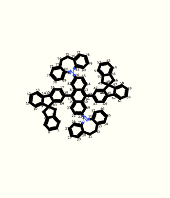 c1ccc2c(c1)CC1(C2)c2ccccc2-c2ccc(-c3c4ccc(N5c6ccccc6CCc6ccccc65)cc4c(-c4ccc5c(c4)C4(Cc6ccccc6C4)c4ccccc4-5)c4ccc(N5c6ccccc6CCc6ccccc65)cc34)cc21